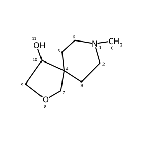 CN1CCC2(CC1)COCC2O